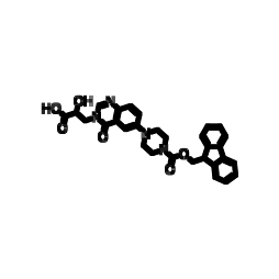 O=C(O)C(O)Cn1cnc2ccc(N3CCN(C(=O)OCC4c5ccccc5-c5ccccc54)CC3)cc2c1=O